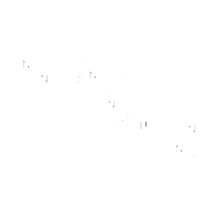 Cc1cc2c(F)c(C[C@H](C(=O)O)N3CC[C@H](NS(=O)(=O)c4ccc(N5CCCC5)nc4)C3=O)ccc2c(N)n1